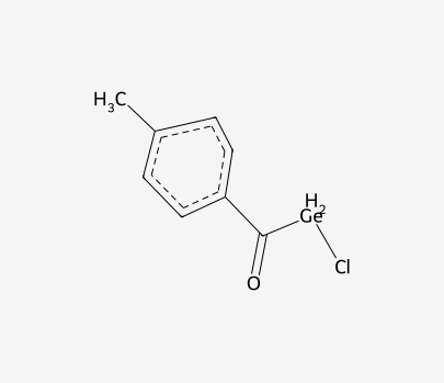 Cc1ccc([C](=O)[GeH2][Cl])cc1